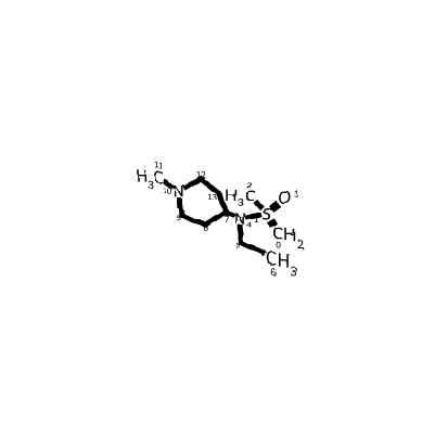 C=S(C)(=O)N(CC)C1CCN(C)CC1